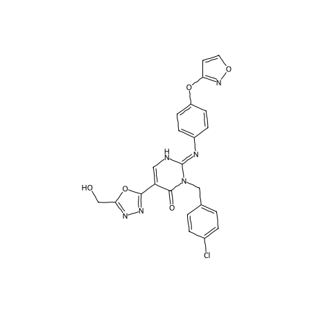 O=c1c(-c2nnc(CO)o2)c[nH]/c(=N\c2ccc(Oc3ccon3)cc2)n1Cc1ccc(Cl)cc1